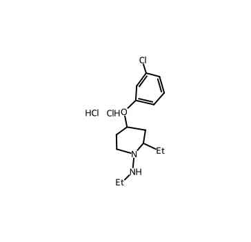 CCNN1CCC(Oc2cccc(Cl)c2)CC1CC.Cl.Cl